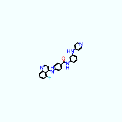 O=C(Nc1cccc(Nc2ccncc2)c1)c1ccc(Nc2ccnc3cccc(F)c23)cc1